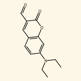 CCN(CC)c1ccc2cc([C]=O)c(=O)oc2c1